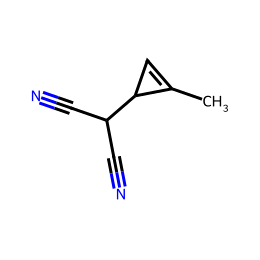 CC1=CC1C(C#N)C#N